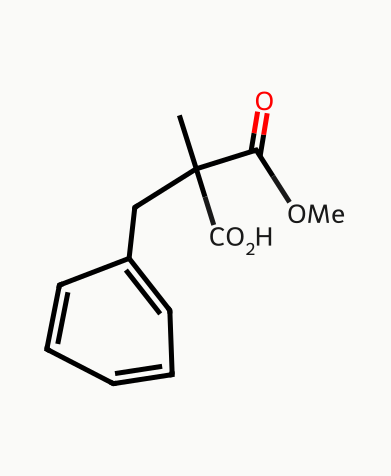 COC(=O)C(C)(Cc1ccccc1)C(=O)O